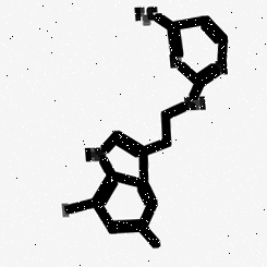 Cc1cc(I)c2[nH]cc(CCNc3nccc(C(F)(F)F)n3)c2c1